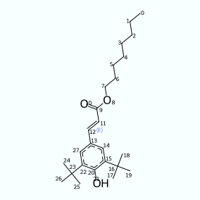 CCCCCCCCOC(=O)/C=C/c1cc(C(C)(C)C)c(O)c(C(C)(C)C)c1